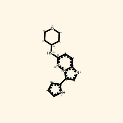 c1c[nH]c(-c2cnc3ccc(NC4CCOCC4)nn23)c1